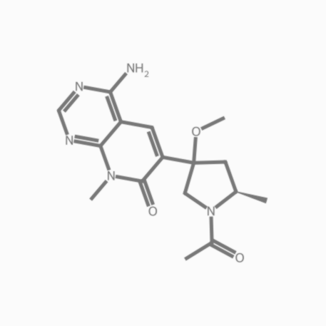 COC1(c2cc3c(N)ncnc3n(C)c2=O)C[C@@H](C)N(C(C)=O)C1